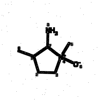 CC1CC[N+](C)([O-])C1N